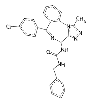 Cc1nnc2n1-c1ccccc1C(c1ccc(Cl)cc1)=NC2NC(=O)NCc1ccccc1